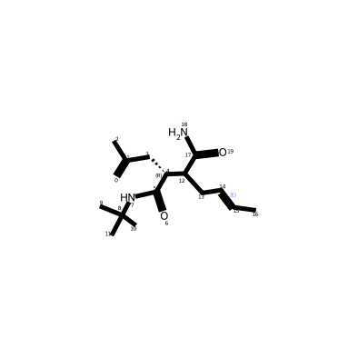 C=C(C)C[C@@H](C(=O)NC(C)(C)C)C(C/C=C/C)C(N)=O